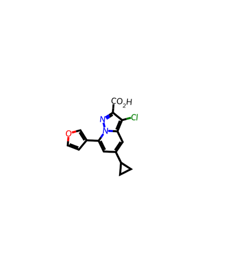 O=C(O)c1nn2c(-c3ccoc3)cc(C3CC3)cc2c1Cl